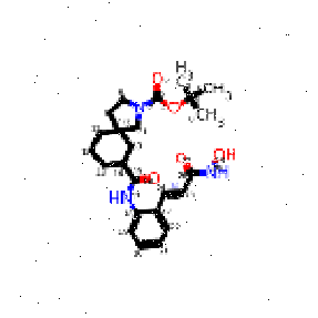 CC(C)(C)OC(=O)N1CCC2(CCCC(C(=O)Nc3ccccc3/C=C/C(=O)NO)C2)C1